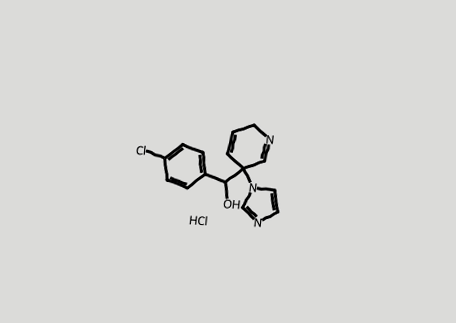 Cl.OC(c1ccc(Cl)cc1)C1(n2ccnc2)C=CCN=C1